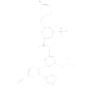 C[C@H]1CCCN(Cc2cc3c(c(C(F)(F)F)c2)CN(c2cc(-c4ccc(C#N)cc4-c4nncn4C)cc(N[C@H](C)CO)n2)C3=O)C1